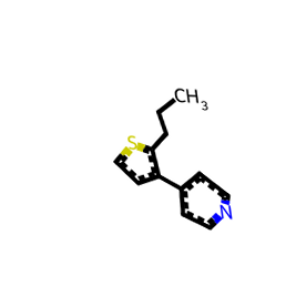 CCCc1sccc1-c1ccncc1